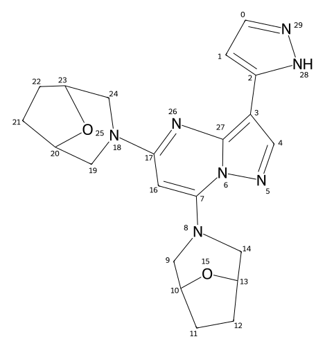 c1cc(-c2cnn3c(N4CC5CCC(C4)O5)cc(N4CC5CCC(C4)O5)nc23)[nH]n1